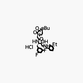 CCCCN1CCN(CC(=O)N[C@@H](Cc2cc(F)cc(F)c2)[C@H](O)CNCc2cccc(CC)c2)C(=O)C1=O.Cl